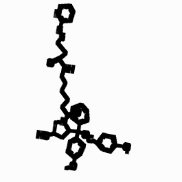 COc1ccc(COC(c2ccccc2)(c2ccc(OC)cc2)C2CC(O)CN2C(=O)CCCCCNC(=O)CCSSc2ccccn2)cc1